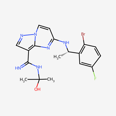 C[C@H](Nc1ccn2ncc(C(=N)NC(C)(C)O)c2n1)c1cc(F)ccc1Br